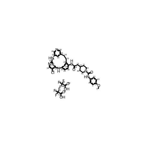 COc1ccc(NC(=O)N2CCC(CC(=O)Nc3ccc4cc3CCc3cncc(c3)Nc3ncc(Cl)c(n3)N4)CC2)cc1.O=C(O)C(F)(F)F.O=C(O)C(F)(F)F